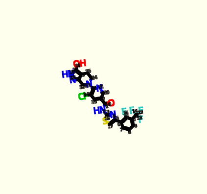 O=C(Nc1nc(-c2cccc(C(F)(F)F)c2F)cs1)c1cnc(N2CCc3c(n[nH]c3O)C2)c(Cl)c1